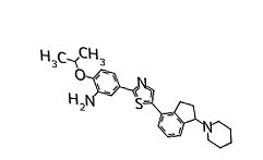 CC(C)Oc1ccc(-c2ncc(-c3cccc4c3CCC4N3CCCCC3)s2)cc1N